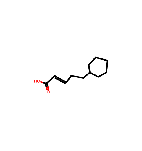 O=C(O)C=CCCC1CCCCC1